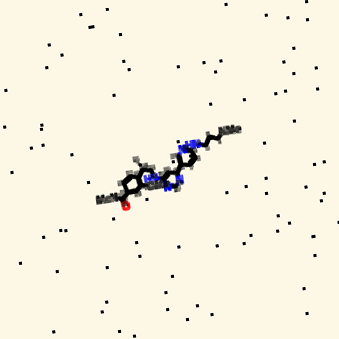 CNCCCNc1ccc(-c2cc(NC[C@@H](C)c3ccc(C(=O)NC)cc3OC)ncn2)cn1